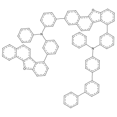 c1ccc(-c2cccc(-c3ccc(N(c4ccccc4)c4cccc(-c5cccc6oc7c8ccc(-c9cccc(N(c%10ccccc%10)c%10cccc(-c%11cccc%12oc%13c%14ccccc%14ccc%13c%11%12)c%10)c9)cc8ccc7c56)c4)cc3)c2)cc1